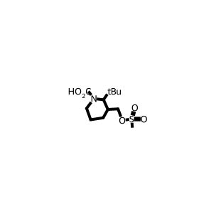 CC(C)(C)C1C(COS(C)(=O)=O)CCCN1C(=O)O